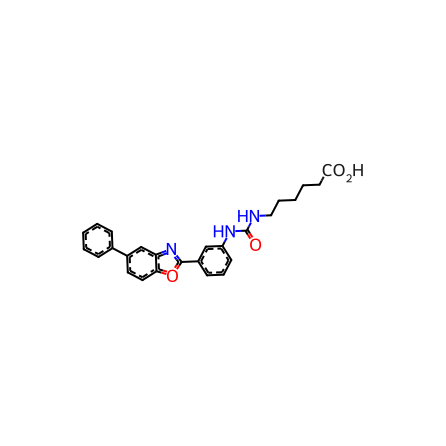 O=C(O)CCCCCNC(=O)Nc1cccc(-c2nc3cc(-c4ccccc4)ccc3o2)c1